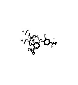 CCOP(C)(=O)C(C)Oc1cc(Oc2ccc(C(F)(F)F)cc2F)ccc1[N+](=O)[O-]